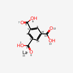 O=C(O)c1cc(C(=O)O)cc(C(=O)O)c1.[La]